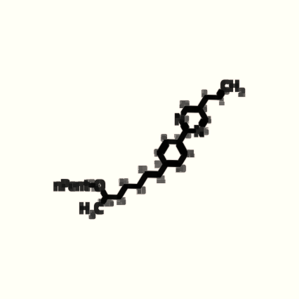 C=CCc1cnc(-c2ccc(/C=C/CCCC(C)OCCCCC)cc2)nc1